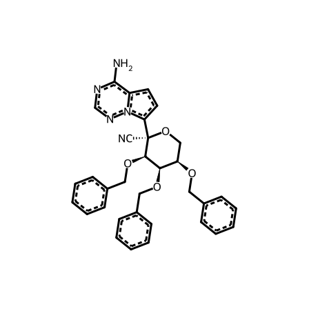 N#C[C@]1(c2ccc3c(N)ncnn23)OC[C@@H](OCc2ccccc2)[C@@H](OCc2ccccc2)[C@H]1OCc1ccccc1